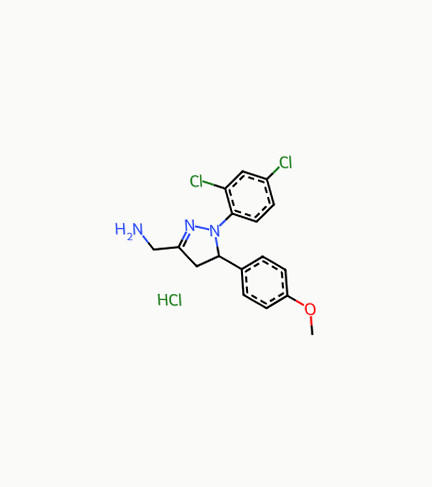 COc1ccc(C2CC(CN)=NN2c2ccc(Cl)cc2Cl)cc1.Cl